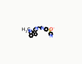 CN1Cc2ccccc2C(C2CCCC2)(C2CCN(CC3CN(c4ccc([S+]([O-])c5ccncc5)cc4)C3)CC2)C1